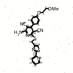 COCCOc1ccc(-c2c(C#N)c(N)nc(SCc3csc(-c4ccccn4)n3)c2C#N)cc1